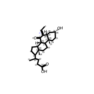 C/C=C1/C(=O)[C@H]2C3CCC(C(C)CCC(=O)O)[C@@]3(C)CCC2[C@@]2(C)CC[C@@H](O)C[C@@H]12